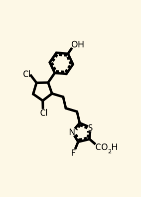 O=C(O)c1sc(CCCC2C(Cl)CC(Cl)C2c2ccc(O)cc2)nc1F